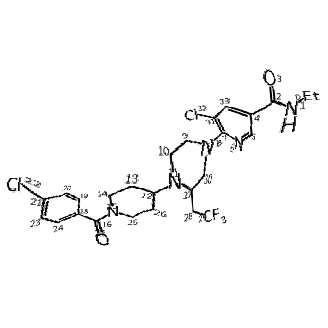 CCNC(=O)c1cnc(N2CCN(C3CCN(C(=O)c4ccc(Cl)cc4)CC3)C(CC(F)(F)F)C2)c(Cl)c1